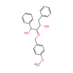 COc1ccc(CO[C@@H](C(O)c2ccccc2)[C@@H](O)Cc2ccccc2)cc1